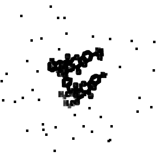 COC(=O)CN1C(=O)c2oc3cc(Br)ccc3c2OC[C@]1(C)C(=O)N[C@@H](C)c1ccccc1.COc1cccnc1CNC(=O)[C@@]1(C)COc2c(oc3cc(-c4ncco4)ccc23)C(=O)N1CC(=O)N(C)C